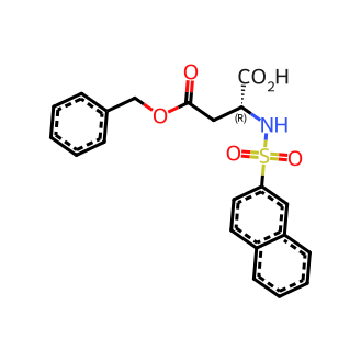 O=C(C[C@@H](NS(=O)(=O)c1ccc2ccccc2c1)C(=O)O)OCc1ccccc1